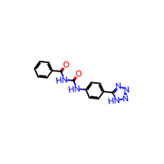 O=C(NC(=O)c1ccccc1)Nc1ccc(-c2nnn[nH]2)cc1